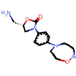 NC[C@H]1CN(c2ccc(N3CCNOCC3)cc2)C(=O)O1